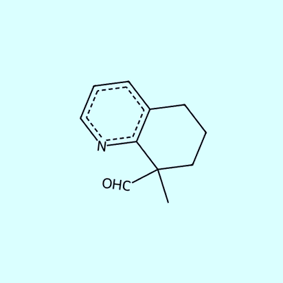 CC1(C=O)CCCc2cccnc21